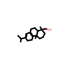 CC(C)C1=CC2=C(CC1)C1(C)CCCC(C)(CO)C1CC2